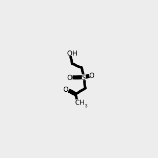 CC(=O)CS(=O)(=O)CCO